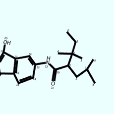 CCC(C)(C)C(CC(C)C)C(=O)Nc1ccc2c(c1)C(O)=CC2=O